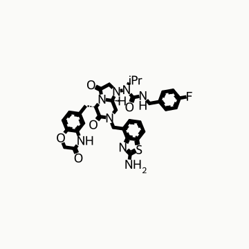 CC(C)N(C(=O)NCc1ccc(F)cc1)N1CC(=O)N2[C@@H](Cc3ccc4c(c3)NC(=O)CO4)C(=O)N(Cc3cccc4sc(N)nc34)C[C@@H]21